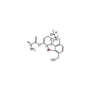 C[C@H](N)C(=O)OC1=CC[C@@]2(O)[C@H]3Cc4ccc(CO)c5c4[C@@]2(CCN3C)[C@H]1O5